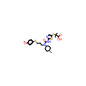 COc1ccc(SCCCN(C(=O)Nc2ncc(SC(C)(C)C(=O)O)s2)[C@H]2CC[C@H](C)CC2)cc1